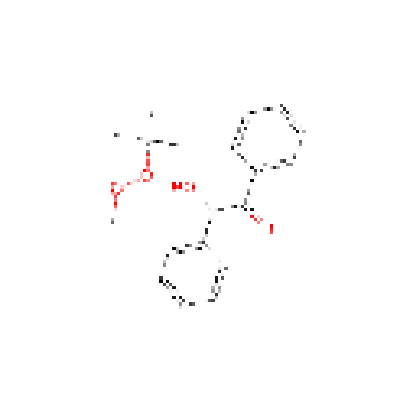 COOC(C)(C)C.O=C(c1ccccc1)C(O)c1ccccc1